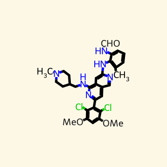 COc1cc(OC)c(Cl)c(-c2cc3cnc(Nc4c(C)cccc4NC=O)cc3c(NCC3CCN(C)CC3)n2)c1Cl